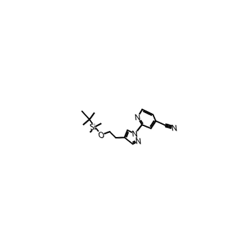 CC(C)(C)[Si](C)(C)OCCc1cnn(-c2cc(C#N)ccn2)c1